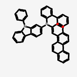 c1ccc(-c2ccccc2N(c2ccc3ccc4c5ccccc5ccc4c3c2)c2ccc3c4ccccc4n(-c4ccccc4)c3c2)cc1